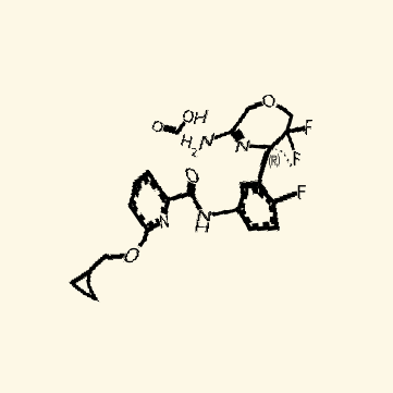 C[C@]1(c2cc(NC(=O)c3cccc(OCC4CC4)n3)ccc2F)N=C(N)COCC1(F)F.O=CO